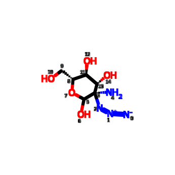 [N-]=[N+]=N[C@@]1(N)C(O)O[C@H](CO)[C@@H](O)[C@@H]1O